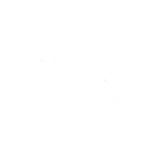 CCCCOCCOCCN=C=O